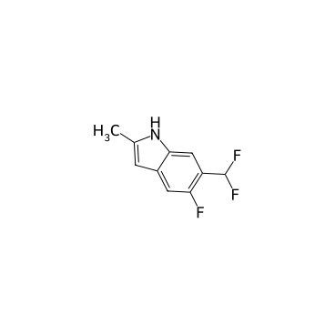 Cc1cc2cc(F)c(C(F)F)cc2[nH]1